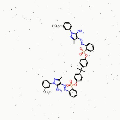 Cc1nn(-c2cccc(S(=O)(=O)O)c2)c(N)c1N=Nc1ccccc1S(=O)(=O)Oc1ccc(C(C)(C)c2ccc(OS(=O)(=O)c3ccccc3N=Nc3c(C)nn(-c4cccc(S(=O)(=O)O)c4)c3N)cc2)cc1